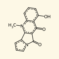 Cn1c2c(c(=O)c3c(O)cccc31)C(=O)n1cccc1-2